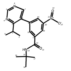 CC(C)c1ncncc1-c1cc(C(=O)NC(C)(C)C)cc([N+](=O)[O-])c1